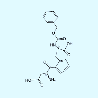 N[C@@H](CC(=O)O)C(=O)c1ccccc1C[C@H](NC(=O)OCc1ccccc1)C(=O)O